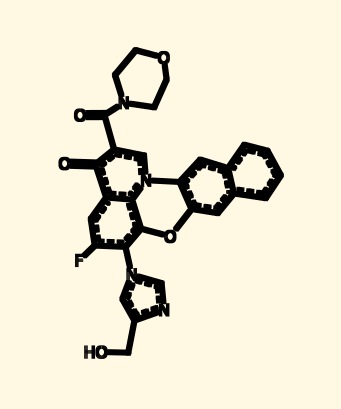 O=C(c1cn2c3c(c(-n4cnc(CO)c4)c(F)cc3c1=O)Oc1cc3ccccc3cc1-2)N1CCOCC1